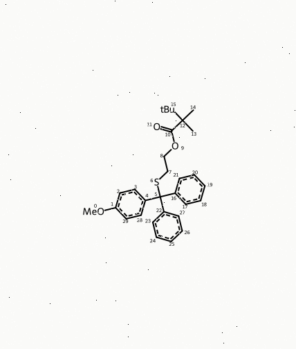 COc1ccc(C(SCCOC(=O)C(C)(C)C(C)(C)C)(c2ccccc2)c2ccccc2)cc1